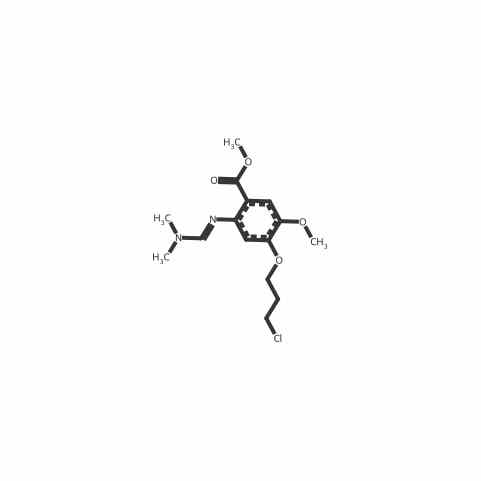 COC(=O)c1cc(OC)c(OCCCCl)cc1N=CN(C)C